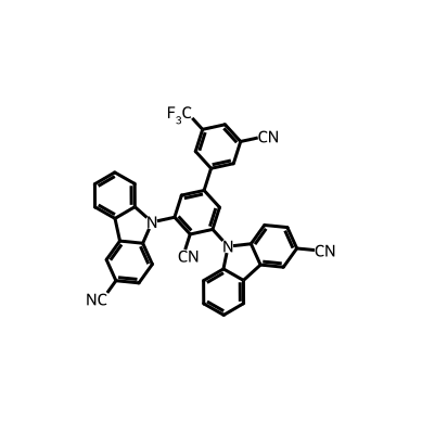 N#Cc1cc(-c2cc(-n3c4ccccc4c4cc(C#N)ccc43)c(C#N)c(-n3c4ccccc4c4cc(C#N)ccc43)c2)cc(C(F)(F)F)c1